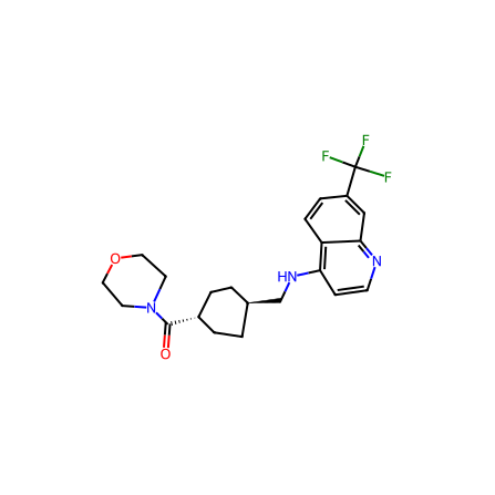 O=C([C@H]1CC[C@H](CNc2ccnc3cc(C(F)(F)F)ccc23)CC1)N1CCOCC1